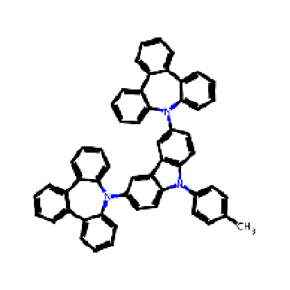 Cc1ccc(-n2c3ccc(N4c5ccccc5-c5ccccc5-c5ccccc54)cc3c3cc(N4c5ccccc5-c5ccccc5-c5ccccc54)ccc32)cc1